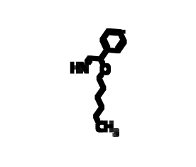 CCCCCCOC(C=N)c1cc[c]cc1